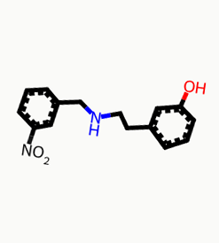 O=[N+]([O-])c1cccc(CNCCc2cccc(O)c2)c1